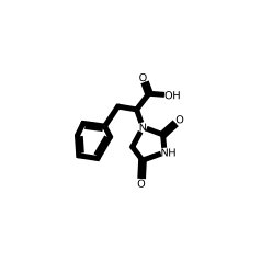 O=C1CN(C(Cc2ccccc2)C(=O)O)C(=O)N1